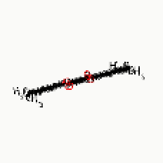 CC(C)CCCCCCCCCCCCCCOC(=O)CCCCCCC(=O)OCCCCCCCCCCCCCCC(C)C